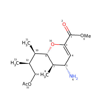 COC(=O)C1=C[C@H](N)[C@@H](C)[C@H]([C@H](C)[C@H](C)COC(C)=O)O1